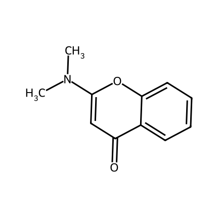 CN(C)c1cc(=O)c2ccccc2o1